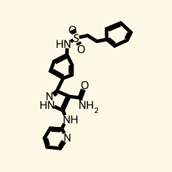 NC(=O)c1c(-c2ccc(NS(=O)(=O)CCc3ccccc3)cc2)n[nH]c1Nc1ccccn1